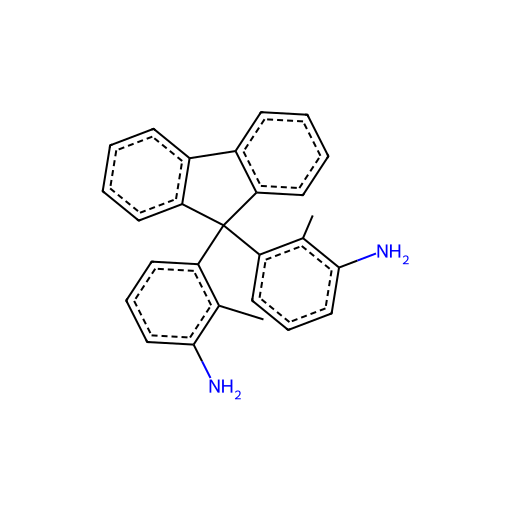 Cc1c(N)cccc1C1(c2cccc(N)c2C)c2ccccc2-c2ccccc21